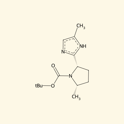 Cc1cnc([C@@H]2CC[C@H](C)N2C(=O)OC(C)(C)C)[nH]1